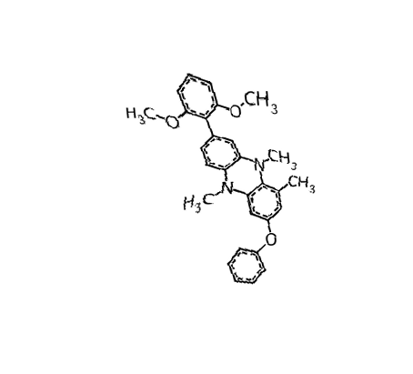 COc1cccc(OC)c1-c1ccc2c(c1)N(C)c1c(C)cc(Oc3ccccc3)cc1N2C